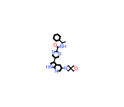 CC(NC(=O)c1ncc(-c2c[nH]c3ncc(N4CC5(COC5)C4)cc23)cn1)c1ccccc1